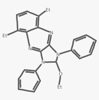 CCOC1N(c2ccccc2)c2nc3c(CC)ccc(CC)c3nc2N1c1ccccc1